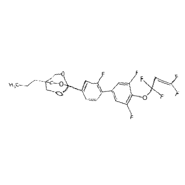 CCCC12COC(c3ccc(-c4cc(F)c(OC(F)(F)C=C(F)F)c(F)c4)c(F)c3)(OC1)OC2